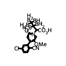 BC(B)(B)C(B)(B)C(C(=O)O)n1cc(OC)c(-c2cc(Cl)ccc2C#N)cc1=O